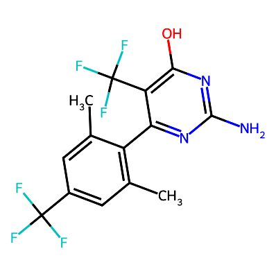 Cc1cc(C(F)(F)F)cc(C)c1-c1nc(N)nc(O)c1C(F)(F)F